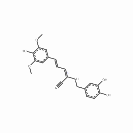 COc1cc(C=C/C=C(\C#N)NCc2ccc(O)c(O)c2)cc(OC)c1O